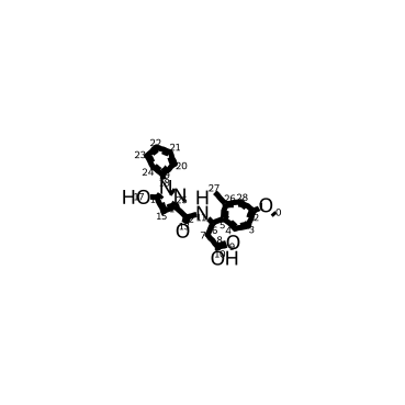 COc1ccc(C(CC(=O)O)NC(=O)c2cc(O)n(-c3ccccc3)n2)c(C)c1